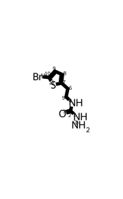 NNC(=O)NCCc1ccc(Br)s1